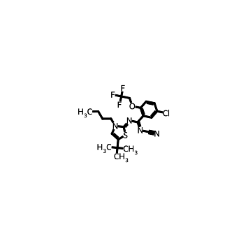 CCCCn1cc(C(C)(C)C)s/c1=N\C(=N\C#N)c1cc(Cl)ccc1OCC(F)(F)F